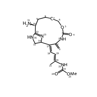 C=C1NC(=O)OCCCC[C@H](N)C2=NC(CN2)/C1=C/C=C(\C)NC(=O)OC